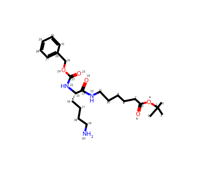 CC(C)(C)OC(=O)CCCCCNC(=O)[C@H](CCCCN)NC(=O)OCc1ccccc1